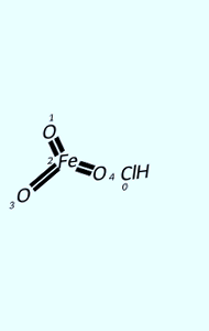 Cl.[O]=[Fe](=[O])=[O]